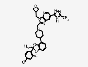 CC1(c2ccc(Cl)cc2F)Oc2cccc(C3CCN(Cc4nc5cc(-c6nnc(C(F)(F)F)[nH]6)cnc5n4CC4COC4)CC3)c2O1